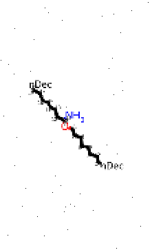 CCCCCCCCCCCCCCCCCCOC(N)CCCCCCCCCCCCCCCCC